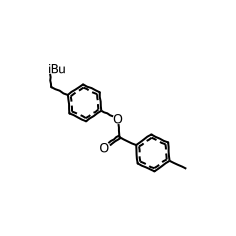 CCC(C)Cc1ccc(OC(=O)c2ccc(C)cc2)cc1